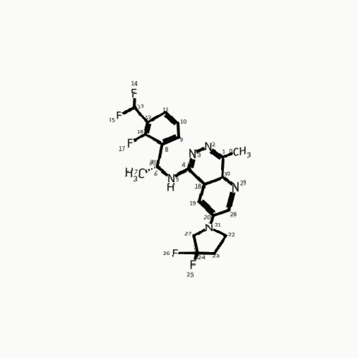 CC1=NN=C(N[C@H](C)c2cccc(C(F)F)c2F)C2C=C(N3CCC(F)(F)C3)C=NC12